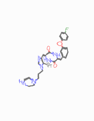 CC(C)c1c(/C=c2\[nH]c(=O)/c(=C/c3cccc(Oc4ccc(F)cc4)c3)[nH]c2=O)ncn1CCCN1CCNCC1